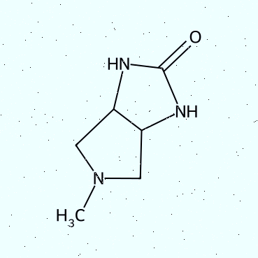 CN1CC2NC(=O)NC2C1